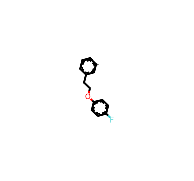 Fc1ccc(OCCc2c[c]ccc2)cc1